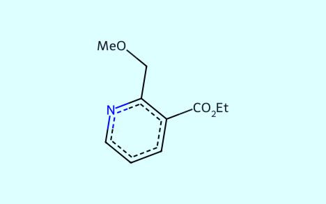 CCOC(=O)c1cccnc1COC